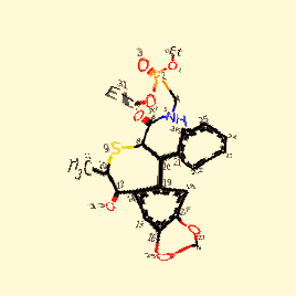 CCOP(=O)(CNC(=O)C1SC(C)C(=O)c2cc3c(cc2C1c1ccccc1)OCO3)OCC